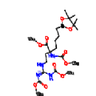 CC(C)(C)OC(=O)/N=C(/NCCC(CCCCB1OC(C)(C)C(C)(C)O1)(NC(=O)OC(C)(C)C)C(=O)OC(C)(C)C)NC(=O)OC(C)(C)C